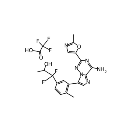 Cc1ncc(-c2nc(N)c3ncc(-c4cc(C(F)(F)C(C)O)ccc4C)n3n2)o1.O=C(O)C(F)(F)F